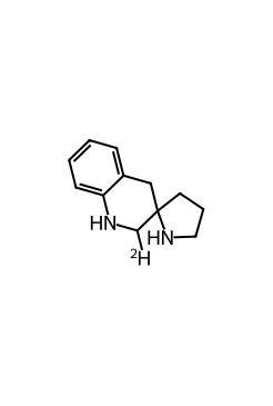 [2H]C1Nc2ccccc2CC12CCCN2